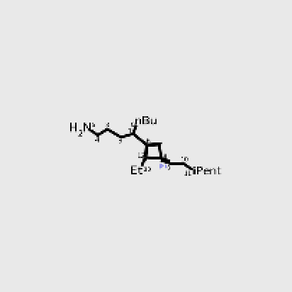 CCCCC(CCCN)C1C/C(=C\CC(C)CCC)C1CC